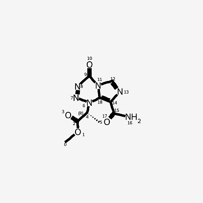 COC(=O)[C@@H](C)n1nnc(=O)n2cnc(C(N)=O)c12